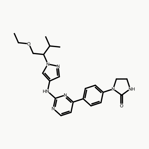 CCOCC(C(C)C)n1cc(Nc2nccc(-c3ccc(N4CCNC4=O)cc3)n2)cn1